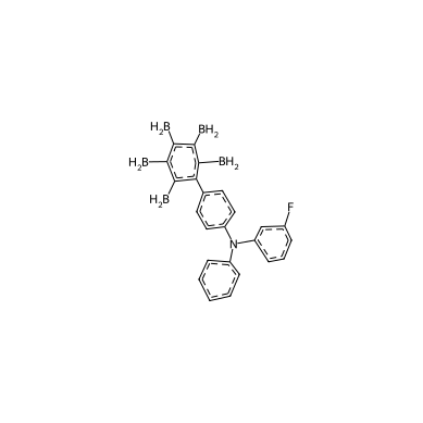 Bc1c(B)c(B)c(-c2ccc(N(c3ccccc3)c3cccc(F)c3)cc2)c(B)c1B